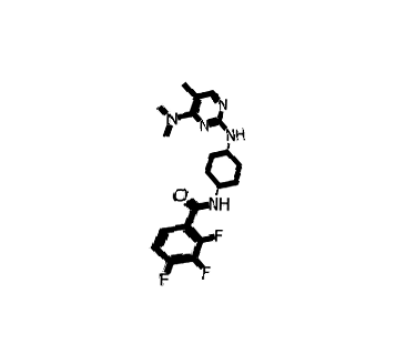 Cc1cnc(N[C@H]2CC[C@@H](NC(=O)c3ccc(F)c(F)c3F)CC2)nc1N(C)C